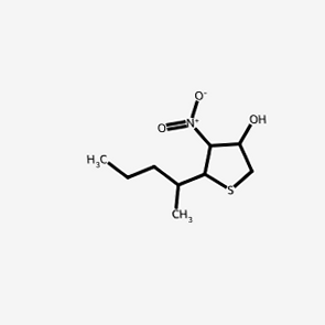 CCCC(C)C1SCC(O)C1[N+](=O)[O-]